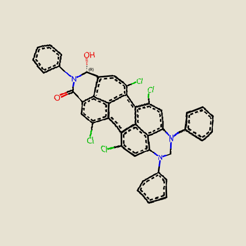 O=C1c2cc(Cl)c3c4c(Cl)cc5c6c(cc(Cl)c(c7c(Cl)cc(c2c37)[C@@H](O)N1c1ccccc1)c64)N(c1ccccc1)CN5c1ccccc1